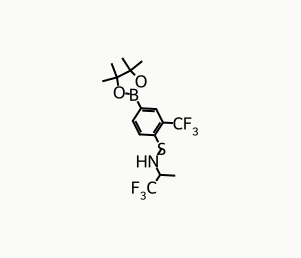 CC(NSc1ccc(B2OC(C)(C)C(C)(C)O2)cc1C(F)(F)F)C(F)(F)F